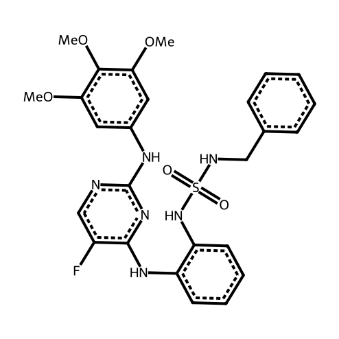 COc1cc(Nc2ncc(F)c(Nc3ccccc3NS(=O)(=O)NCc3ccccc3)n2)cc(OC)c1OC